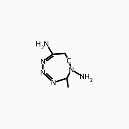 CC1/N=N\N=C(\N)CCN1N